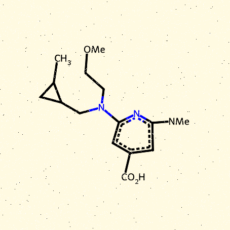 CNc1cc(C(=O)O)cc(N(CCOC)CC2CC2C)n1